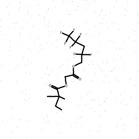 CCC(C)(C)C(=O)OCC(=O)OCC(F)(F)CC(F)(F)C(F)(F)F